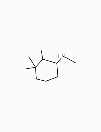 CNC1CCCC(C)(C)C1C